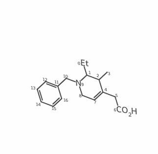 CCC1C(C)C(CC(=O)O)=CCN1Cc1ccccc1